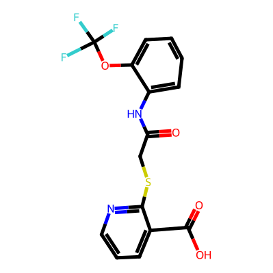 O=C(CSc1ncccc1C(=O)O)Nc1ccccc1OC(F)(F)F